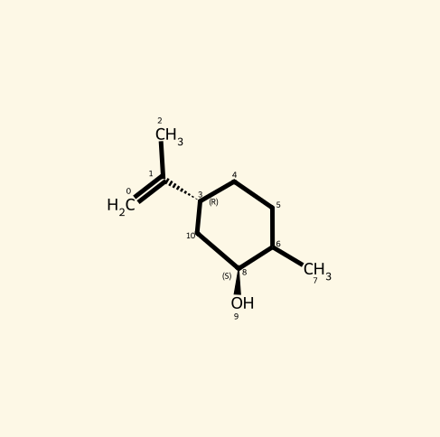 C=C(C)[C@@H]1CCC(C)[C@@H](O)C1